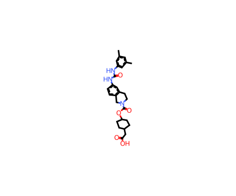 Cc1cc(C)cc(NC(=O)Nc2ccc3c(c2)CCN(C(=O)OC2CCC(CC(=O)O)CC2)C3)c1